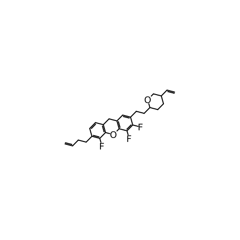 C=CCCc1ccc2c(c1F)Oc1c(cc(CCC3CCC(C=C)CO3)c(F)c1F)C2